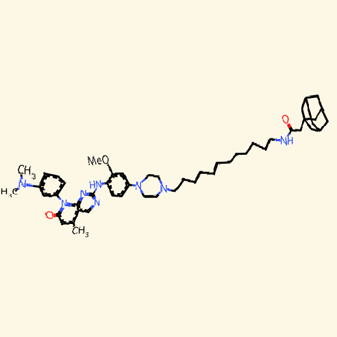 COc1cc(N2CCN(CCCCCCCCCCCCNC(=O)CC34CC5CC(CC(C5)C3)C4)CC2)ccc1Nc1ncc2c(C)cc(=O)n(-c3cccc(N(C)C)c3)c2n1